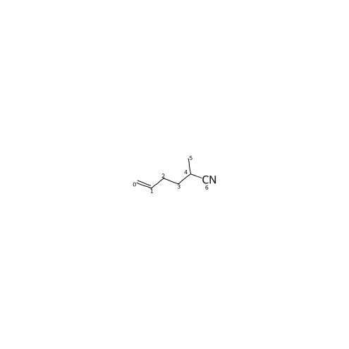 C=CCCC(C)C#N